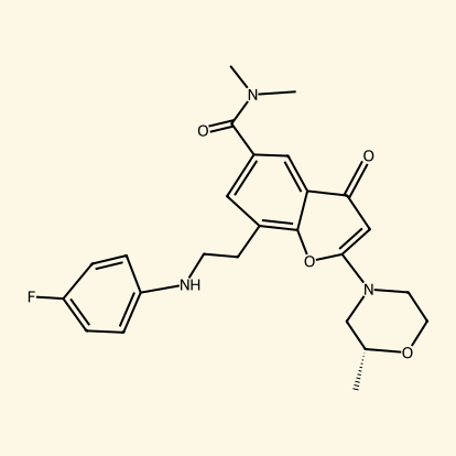 C[C@@H]1CN(c2cc(=O)c3cc(C(=O)N(C)C)cc(CCNc4ccc(F)cc4)c3o2)CCO1